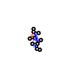 c1ccc2c(c1)ccc1c2c2ccccc2n1-c1nc(-n2c3ccccc3c3cc4c5c6ccccc6ccc5n5c6ccccc6c(c32)c45)nc2c1oc1ccccc12